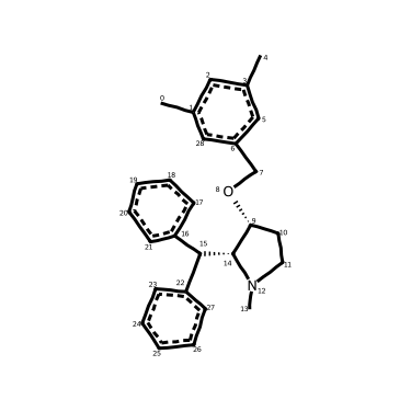 Cc1cc(C)cc(CO[C@@H]2CCN(C)[C@@H]2C(c2ccccc2)c2ccccc2)c1